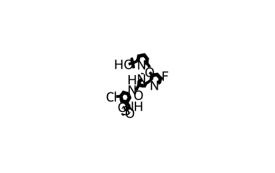 Cn1cc(C(=O)Nc2cc(Cl)cc(NS(C)(=O)=O)c2)cc1-c1ncc(F)cc1OCc1cccc(C(C)(C)O)n1